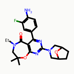 CCN1CC(C)(C)Oc2nc(N3CC4CCC(C3)O4)nc(-c3ccc(N)c(F)c3)c2C1=O